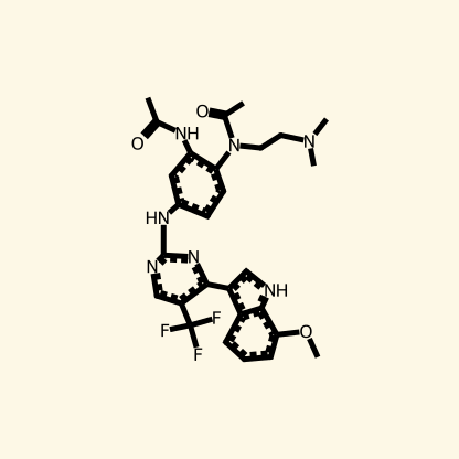 COc1cccc2c(-c3nc(Nc4ccc(N(CCN(C)C)C(C)=O)c(NC(C)=O)c4)ncc3C(F)(F)F)c[nH]c12